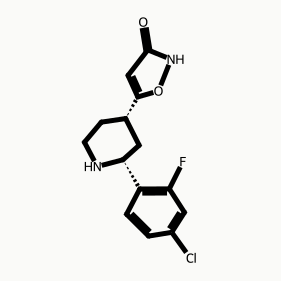 O=c1cc([C@H]2CCN[C@@H](c3ccc(Cl)cc3F)C2)o[nH]1